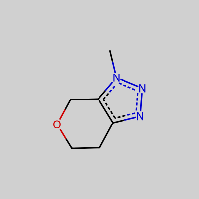 Cn1nnc2c1COCC2